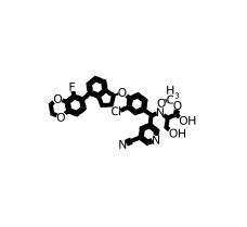 CON(C(CO)C(=O)O)C(c1cncc(C#N)c1)c1ccc(O[C@H]2CCc3c(-c4ccc5c(c4F)OCCO5)cccc32)c(Cl)c1